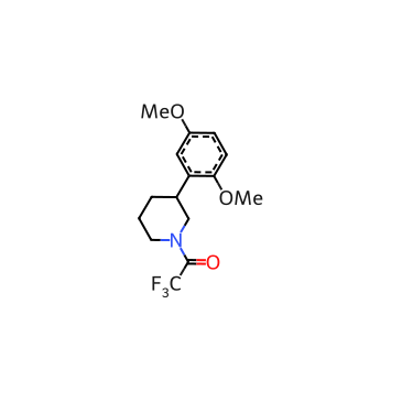 COc1ccc(OC)c(C2CCCN(C(=O)C(F)(F)F)C2)c1